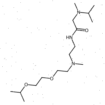 CC(C)OCCOCCN(C)CCNC(=O)CN(C)C(C)C